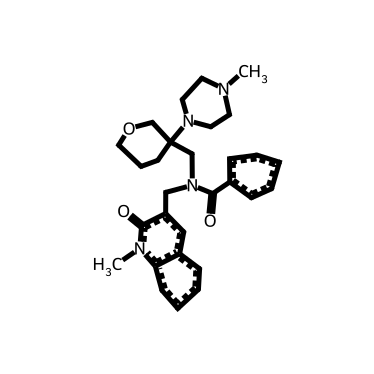 CN1CCN(C2(CN(Cc3cc4ccccc4n(C)c3=O)C(=O)c3ccccc3)CCCOC2)CC1